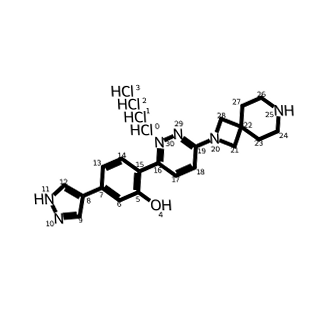 Cl.Cl.Cl.Cl.Oc1cc(-c2cn[nH]c2)ccc1-c1ccc(N2CC3(CCNCC3)C2)nn1